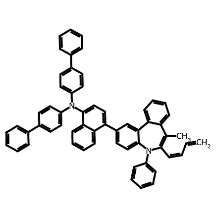 C=C/C=C\C1=C(C)c2ccccc2-c2cc(-c3ccc(N(c4ccc(-c5ccccc5)cc4)c4ccc(-c5ccccc5)cc4)c4ccccc34)ccc2N1c1ccccc1